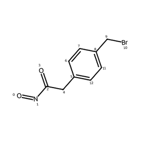 O=NC(=O)Cc1ccc(CBr)cc1